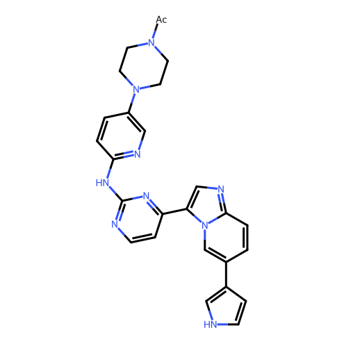 CC(=O)N1CCN(c2ccc(Nc3nccc(-c4cnc5ccc(-c6cc[nH]c6)cn45)n3)nc2)CC1